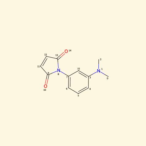 CN(C)c1cccc(N2C(=O)C=CC2=O)c1